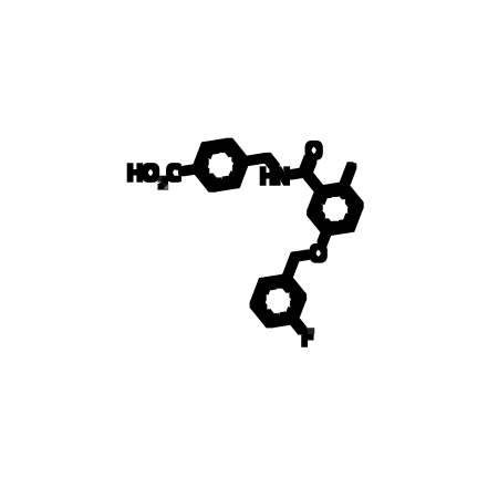 Cc1ccc(OCc2cccc(F)c2)cc1C(=O)NCc1ccc(C(=O)O)cc1